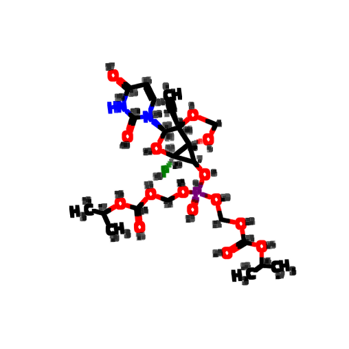 C#C[C@@]12OCO[C@@]13C(OP(=O)(OCOC(=O)OC(C)C)OCOC(=O)OC(C)C)[C@@]3(F)O[C@H]2n1ccc(=O)[nH]c1=O